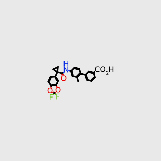 Cc1cc(NC(=O)C2(c3ccc4c(c3)OC(F)(F)O4)CC2)ccc1-c1cccc(C(=O)O)c1